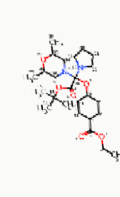 CCOC(=O)C1CCC(OC(C(=O)OC(C)(C)C)(N2CCCC2)N2CC(C)OC(C)C2)CC1